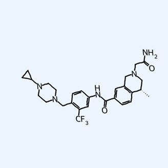 C[C@H]1CN(CC(N)=O)Cc2cc(C(=O)Nc3ccc(CN4CCN(C5CC5)CC4)c(C(F)(F)F)c3)ccc21